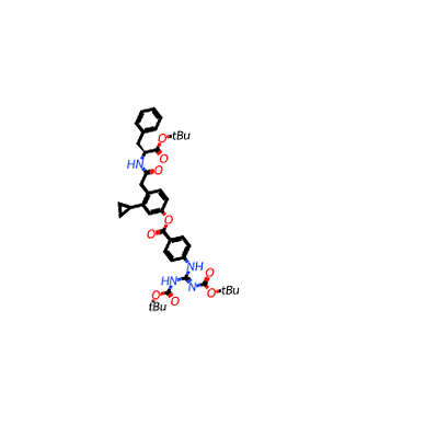 CC(C)(C)OC(=O)/N=C(/NC(=O)OC(C)(C)C)Nc1ccc(C(=O)Oc2ccc(CC(=O)N[C@@H](Cc3ccccc3)C(=O)OC(C)(C)C)c(C3CC3)c2)cc1